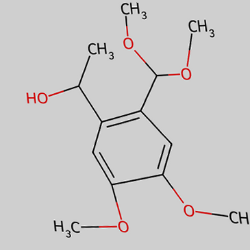 COc1cc(C(C)O)c(C(OC)OC)cc1OC